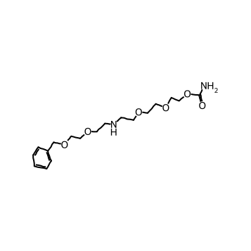 NC(=O)OCCOCCOCCNCCOCCOCc1ccccc1